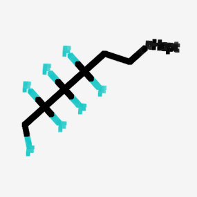 CCCCCCCCCC(F)(F)C(F)(F)C(F)(F)CF